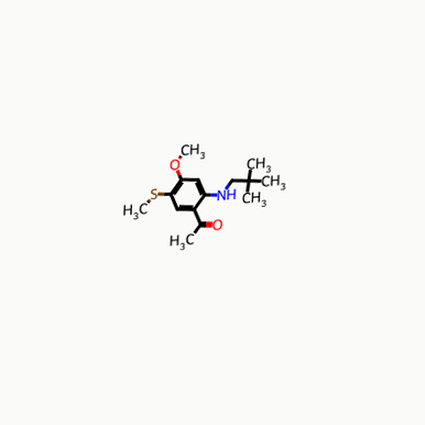 COc1cc(NCC(C)(C)C)c(C(C)=O)cc1SC